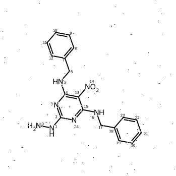 NNc1nc(NCc2ccccc2)c([N+](=O)[O-])c(NCc2ccccc2)n1